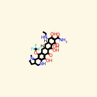 CCN[C@@H]1C(O)=C(C(N)=O)C(=O)[C@@]2(O)C(O)=C3C(=O)c4c(O)c5c(c(OC(F)(F)F)c4C[C@H]3C[C@@H]12)C1C(CCN1C)CN5